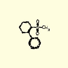 CS(=O)(=O)C1=C(c2ccccc2)CCCC1